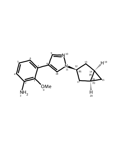 COc1c(N)cccc1-c1cnn([C@H]2C[C@H]3C[C@H]3C2)c1